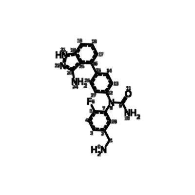 NCc1ccc(F)c(N(C(N)=O)c2ccc(-c3cccc4[nH]nc(N)c34)cc2)c1